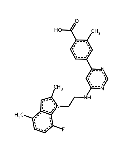 Cc1cc(-c2cc(NCCn3c(C)cc4c(C)ccc(F)c43)ncn2)ccc1C(=O)O